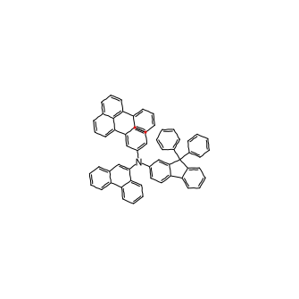 c1ccc(-c2cccc3cccc(-c4cccc(N(c5ccc6c(c5)C(c5ccccc5)(c5ccccc5)c5ccccc5-6)c5cc6ccccc6c6ccccc56)c4)c23)cc1